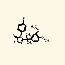 COc1ccc(C(C)(C)c2n[nH]c(=S)n2-c2ccc(F)cc2)cc1OC